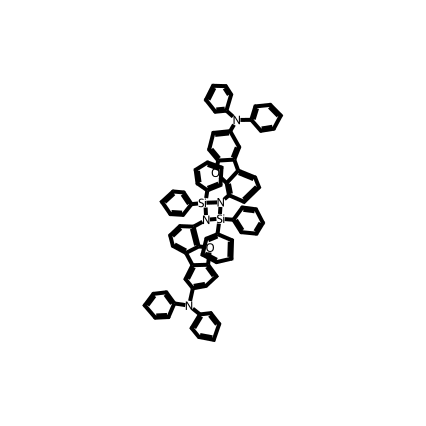 c1ccc(N(c2ccccc2)c2ccc3oc4c(N5[Si](c6ccccc6)(c6ccccc6)N(c6cccc7c6oc6ccc(N(c8ccccc8)c8ccccc8)cc67)[Si]5(c5ccccc5)c5ccccc5)cccc4c3c2)cc1